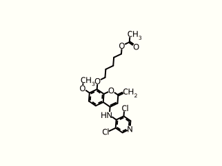 C=C1C=C(Nc2c(Cl)cncc2Cl)c2ccc(OC)c(OCCCCCOC(C)=O)c2O1